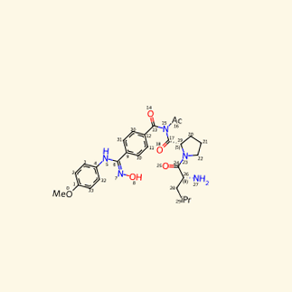 COc1ccc(NC(=NO)c2ccc(C(=O)N(C(C)=O)C(=O)[C@@H]3CCCN3C(=O)[C@H](N)CC(C)C)cc2)cc1